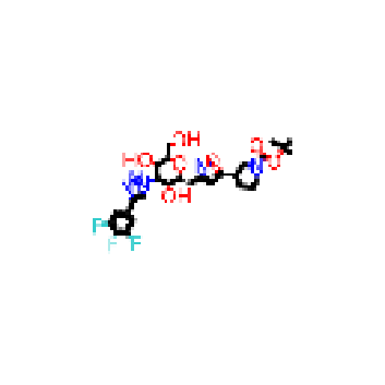 CC(C)(C)OC(=O)N1CCC[C@@H](c2cc(C[C@H]3O[C@H](CO)[C@H](O)[C@H](n4cc(-c5cc(F)c(F)c(F)c5)nn4)[C@H]3O)no2)C1